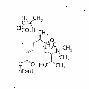 C=C(C)C(=O)O.C=C(CC=CC(=O)OCCCCC)C(=O)OC(C(C)O)[N+](C)(C)C.[Cl-]